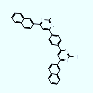 Clc1nc(-c2ccc(-c3cc(-c4ccc5ccccc5c4)nc(Cl)n3)cc2)cc(-c2ccc3ccccc3c2)n1